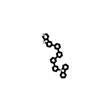 c1cc(-c2cccc(-c3cccc(-n4c5ccccc5c5ccccc54)c3)c2)cc(-c2cccc(-c3ccc4oc5cnccc5c4c3)c2)c1